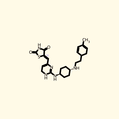 CC1=CCC(CCN[C@H]2CC[C@H](NC3=NC(/C=C4\SC(=O)NC4=O)=CCN3)CC2)C=C1